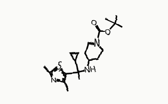 Cc1nc(C)c(C(C)(NC2CCN(C(=O)OC(C)(C)C)CC2)C2CC2)s1